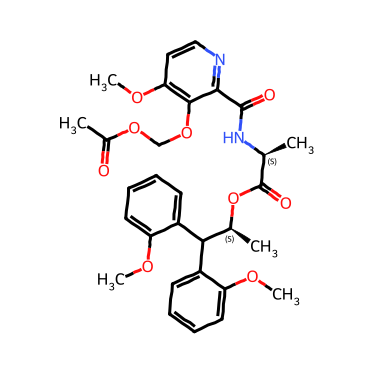 COc1ccccc1C(c1ccccc1OC)[C@H](C)OC(=O)[C@H](C)NC(=O)c1nccc(OC)c1OCOC(C)=O